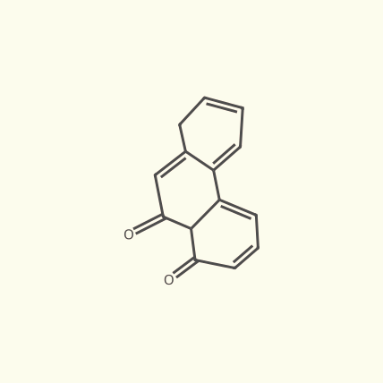 O=C1C=CC=C2C3=CC=CCC3=CC(=O)C12